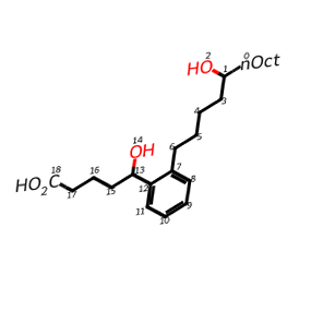 CCCCCCCCC(O)CCCCc1ccccc1C(O)CCCC(=O)O